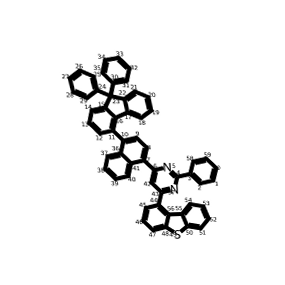 c1ccc(-c2nc(-c3ccc(-c4cccc5c4-c4ccccc4C5(c4ccccc4)c4ccccc4)c4ccccc34)cc(-c3cccc4sc5ccccc5c34)n2)cc1